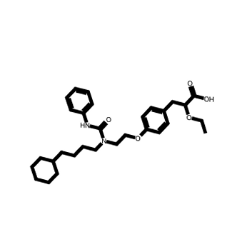 CCOC(Cc1ccc(OCCN(CCCCC2CCCCC2)C(=O)Nc2ccccc2)cc1)C(=O)O